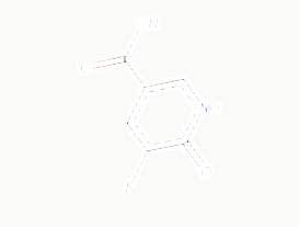 O=C(O)c1c[nH]c(=O)c(F)c1